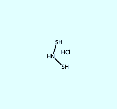 Cl.SNS